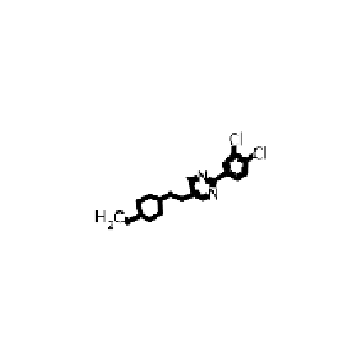 C=CC1CCC(CCc2cnc(-c3ccc(Cl)c(Cl)c3)nc2)CC1